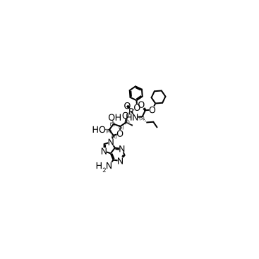 CCC[C@H](NP(=O)(Oc1ccccc1)O[C@@H](C)[C@H]1O[C@@H](n2cnc3c(N)ncnc32)[C@H](O)[C@@H]1O)C(=O)OC1CCCCC1